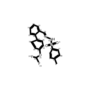 Cc1ccc(S(=O)(=O)NN=Cc2ccccc2-c2ccc(OC(F)F)cc2)cc1